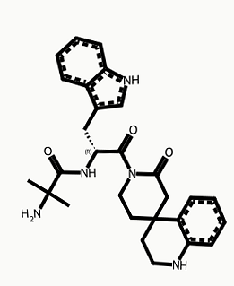 CC(C)(N)C(=O)N[C@H](Cc1c[nH]c2ccccc12)C(=O)N1CCC2(CCNc3ccccc32)CC1=O